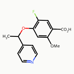 COc1cc(OC(C)c2ccncc2)c(F)cc1C(=O)O